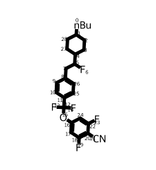 CCCCC1CCC(C(F)Cc2ccc(C(F)(F)Oc3cc(F)c(C#N)c(F)c3)cc2)CC1